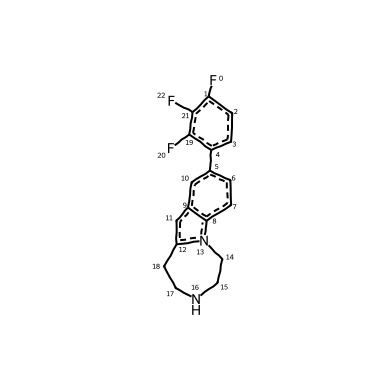 Fc1ccc(-c2ccc3c(c2)cc2n3CCNCC2)c(F)c1F